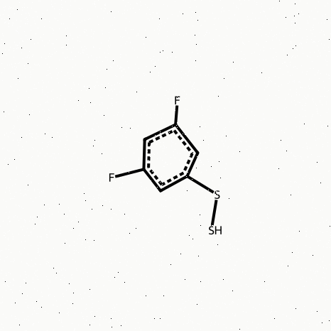 Fc1cc(F)cc(SS)c1